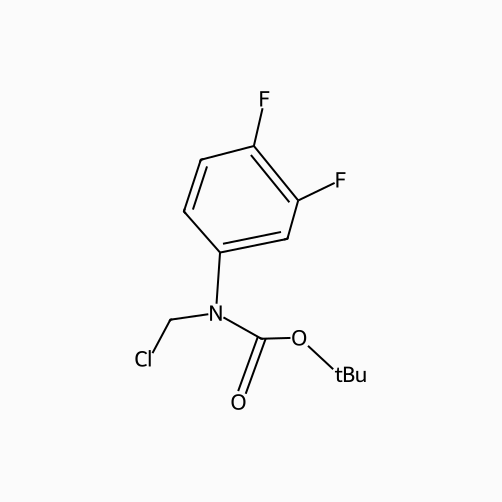 CC(C)(C)OC(=O)N(CCl)c1ccc(F)c(F)c1